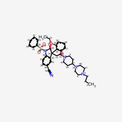 CCCN1CCN(C2CCN(C(=O)CC3(c4ccccc4OCC)C(=O)N(S(=O)(=O)c4ccccc4)c4ccc(C#N)cc43)CC2)CC1